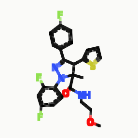 COCCNC(=O)C1(C)C(c2cccs2)C(c2ccc(F)cc2)=NN1c1ccc(F)cc1F